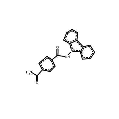 NC(=O)c1ccc(C(=O)Nn2c3ccccc3c3ccccc32)cc1